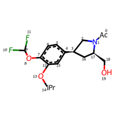 CC(=O)N1C[C@H](c2ccc(OC(F)F)c(OC(C)C)c2)C[C@@H]1CO